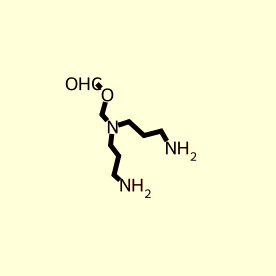 NCCCN(CCCN)COC=O